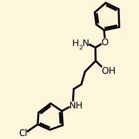 NC(Oc1ccccc1)C(O)CCCNc1ccc(Cl)cc1